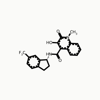 Cn1c(=O)c(O)c(C(=O)N[C@@H]2CCc3ccc(C(F)(F)F)cc32)c2ccccc21